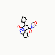 O=C(c1cc(-c2ccccc2)c(=O)n2ncc3ccccc3c12)N1CCOCC1